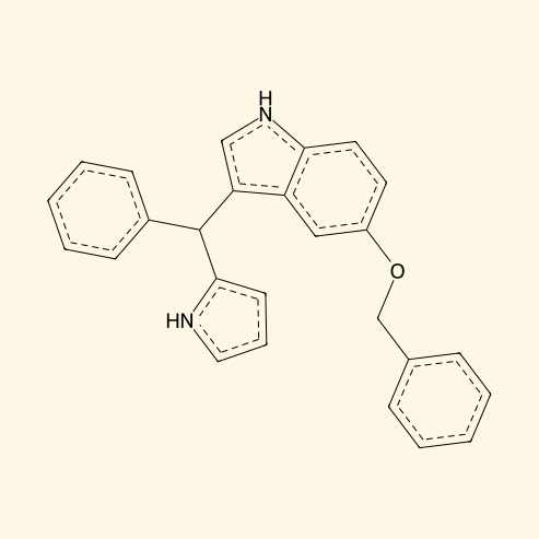 c1ccc(COc2ccc3[nH]cc(C(c4ccccc4)c4ccc[nH]4)c3c2)cc1